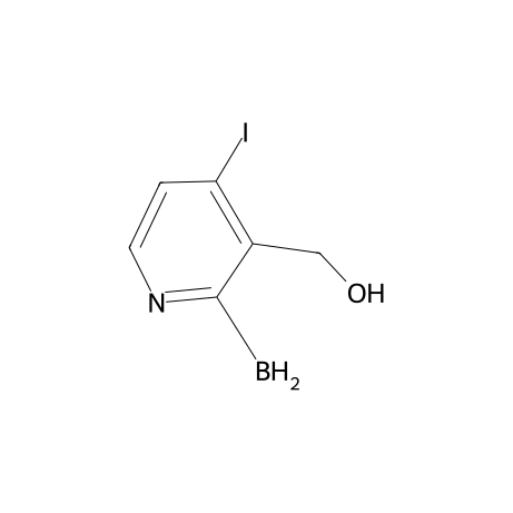 Bc1nccc(I)c1CO